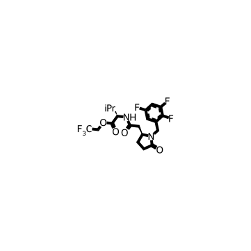 CC(C)[C@H](NC(=O)C[C@@H]1CCC(=O)N1Cc1cc(F)cc(F)c1F)C(=O)OCC(F)(F)F